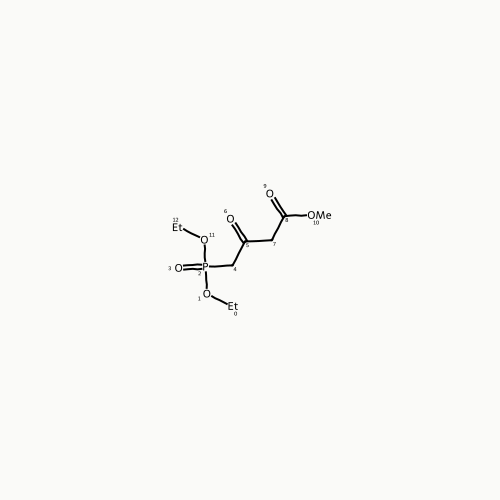 CCOP(=O)(CC(=O)CC(=O)OC)OCC